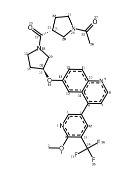 COc1ncc(-c2ccnc3ccc(O[C@H]4CCN(C(=O)[C@@H]5CCN(C(C)=O)C5)C4)cc23)cc1C(F)(F)F